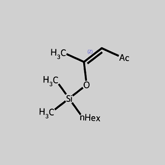 CCCCCC[Si](C)(C)O/C(C)=C\C(C)=O